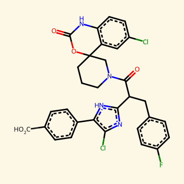 O=C1Nc2ccc(Cl)cc2C2(CCCN(C(=O)C(Cc3ccc(F)cc3)c3nc(Cl)c(-c4ccc(C(=O)O)cc4)[nH]3)C2)O1